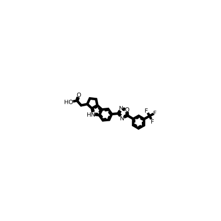 O=C(O)CC1CCc2c1[nH]c1ccc(-c3noc(-c4cccc(C(F)(F)F)c4)n3)cc21